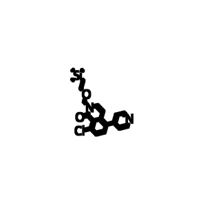 C[Si](C)(C)CCOCn1ccc2c(-c3ccncc3)ccc(Cl)c2c1=O